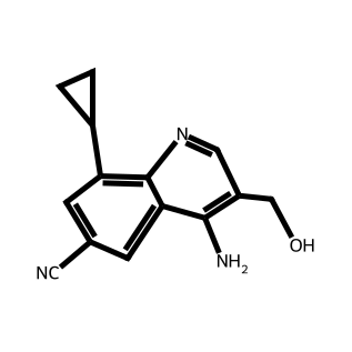 N#Cc1cc(C2CC2)c2ncc(CO)c(N)c2c1